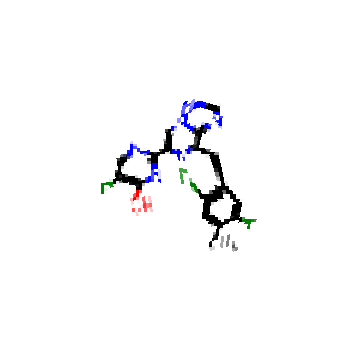 Cc1cc(F)c(Cc2nc(-c3ncc(F)c(O)n3)cn3ncnc23)cc1F